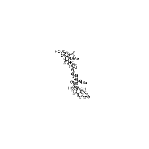 COc1c(N2CCN(C(=O)OCOC(=O)CC(NC(=O)OC(C)(C)C)C(=O)OCC(=O)[C@@]3(O)CCC4C5CCC6=CC(=O)C=C[C@]6(C)C5[C@@H](O)C[C@@]43C)C(C)C2)c(F)cc2c(=O)c(C(=O)O)cn(C3CC3)c12